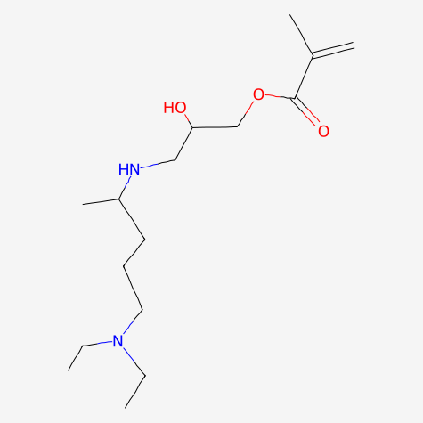 C=C(C)C(=O)OCC(O)CNC(C)CCCN(CC)CC